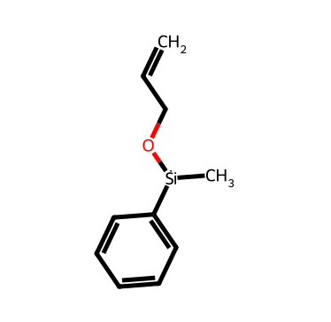 C=CCO[Si](C)c1ccccc1